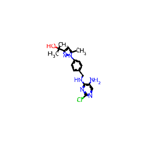 Cc1cc(C(C)(C)O)nn1-c1ccc(CNc2nc(Cl)ncc2N)cc1